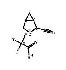 N#CC1NCC2CC21.O=C(O)C(F)(F)F